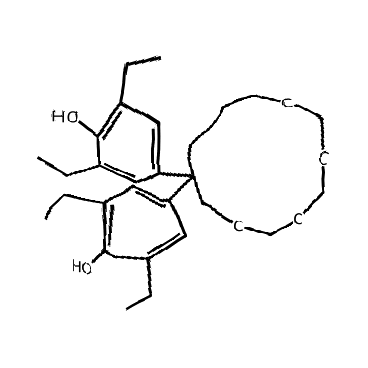 CCc1cc(C2(c3cc(CC)c(O)c(CC)c3)CCCCCCCCCCC2)cc(CC)c1O